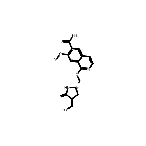 CC(C)Oc1cc2c(OC[C@@H]3CC(CO)C(=O)N3)nccc2cc1C(N)=O